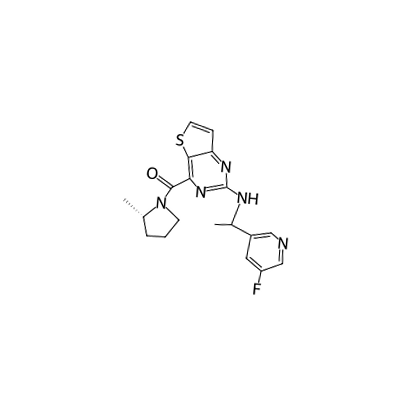 CC(Nc1nc(C(=O)N2CCC[C@@H]2C)c2sccc2n1)c1cncc(F)c1